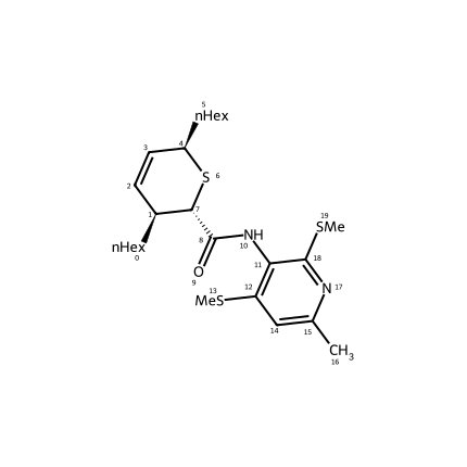 CCCCCC[C@H]1C=C[C@@H](CCCCCC)S[C@@H]1C(=O)Nc1c(SC)cc(C)nc1SC